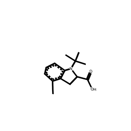 Cc1cccc2c1CC(C(=O)O)N2C(C)(C)C